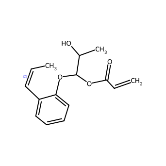 C=CC(=O)OC(Oc1ccccc1/C=C\C)C(C)O